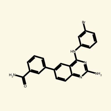 NC(=O)c1cccc(-c2ccc3nc(N)nc(Nc4cccc(Br)c4)c3c2)c1